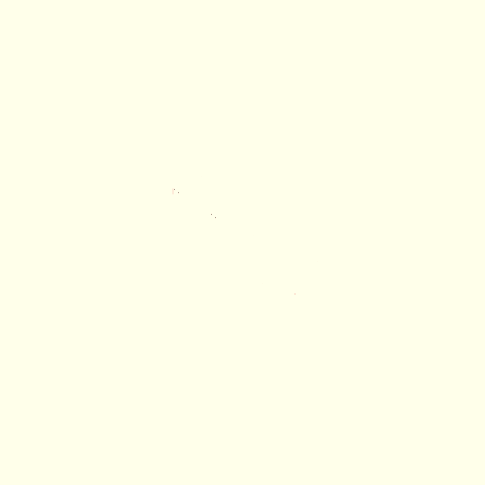 CCCC(CC(C)P(=O)(O)O)[n+]1cc[nH]c1